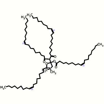 CCCCCCCC/C=C\CCCCCCCC(=O)OC(CN(C)C)(OC(=O)CCCCCCC/C=C\CCCCCCCC)C(C(=O)CCCCCCC/C=C\CCCCCCCC)C(=O)CCCCCCC/C=C\CCCCCCCC